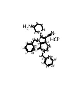 Cl.N#Cc1c(N2CCCC(N)C2)n(Cc2ccccc2)c2c(=O)n(Cc3ccccn3)cnc12